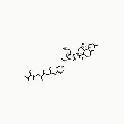 C=C(C)C(=O)NCC(=O)NCC(=O)Nc1ccc(CC(=O)N/N=C(/CO)[C@H]2[C@H](C)CC3[C@@H]4CCC5=CC(=O)C=C[C@]5(C)C4[C@@H](O)C[C@@]32C)cc1